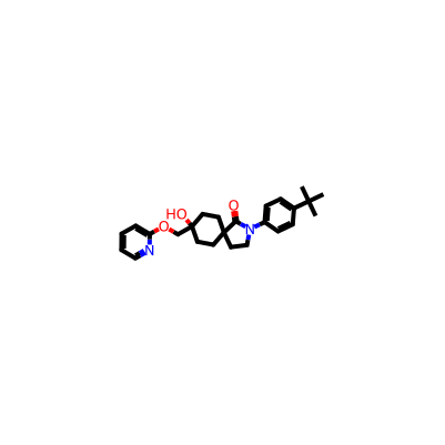 CC(C)(C)c1ccc(N2CCC3(CCC(O)(COc4ccccn4)CC3)C2=O)cc1